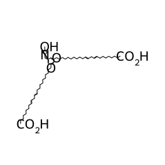 O=C(O)CCCCCCCC=CCC=CCCCCCCCCCOc1cc(CN2CC(O)C2)cc(OCCCCCCCCCC=CCC=CCCCCCCCC(=O)O)c1